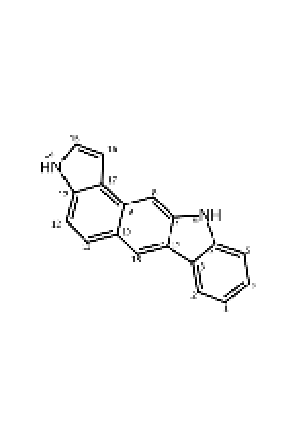 c1ccc2c(c1)[nH]c1cc3c(ccc4[nH]ccc43)cc12